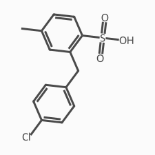 Cc1ccc(S(=O)(=O)O)c(Cc2ccc(Cl)cc2)c1